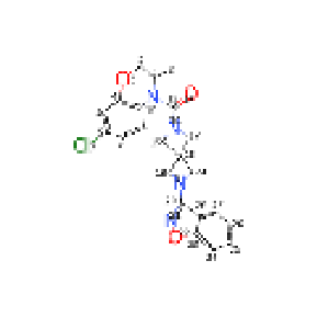 CC1COc2cc(Cl)ccc2N1C(=O)N1CC2(C1)CN(c1noc3ccccc13)C2